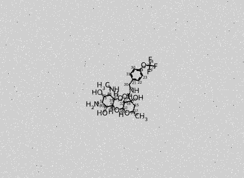 CN[C@H]1[C@@H](O)[C@@H](N)[C@H](O)[C@H]2O[C@@H]3O[C@H](C)C[C@@](O)(CNCc4ccc(OC(F)(F)F)cc4)[C@]3(O)O[C@H]12